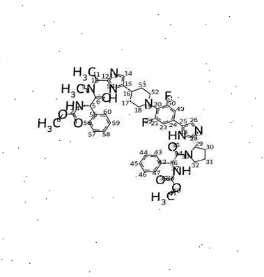 COC(=O)N[C@@H](C(=O)N(C)[C@@H](C)c1ncc(C2CCN(c3c(F)cc(-c4cnc([C@@H]5CCCN5C(=O)[C@H](NC(=O)OC)c5ccccc5)[nH]4)cc3F)CC2)[nH]1)c1ccccc1